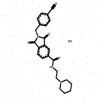 Cl.N#Cc1ccc(CN2C(=O)c3ccc(C(=O)NCCN4CCCCC4)cc3C2=O)cc1